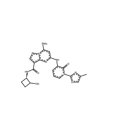 CNc1cc(Nc2cccn(-c3nc(C)co3)c2=O)nc2c(C(=O)N[C@@H]3CCC3O)cnn12